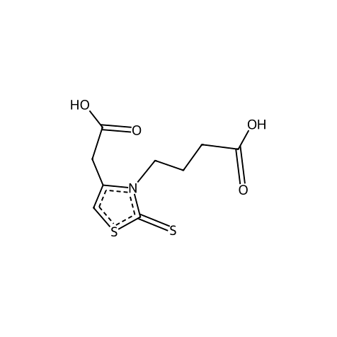 O=C(O)CCCn1c(CC(=O)O)csc1=S